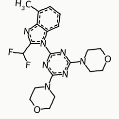 Cc1cccc2c1nc(C(F)F)n2-c1nc(N2CCOCC2)nc(N2CCOCC2)n1